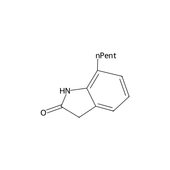 CCCCCc1cccc2c1NC(=O)C2